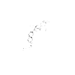 COc1ccc2ccc(C(=O)OC(C)(C)C3CCNCC3)cc2c1